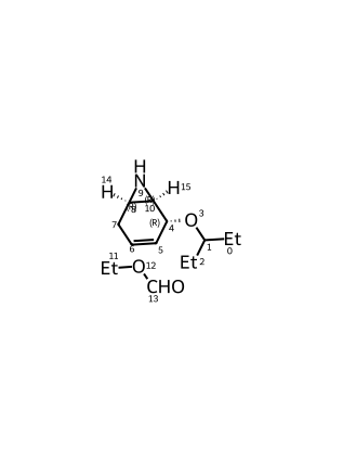 CCC(CC)O[C@@H]1C=CC[C@H]2N[C@H]21.CCOC=O